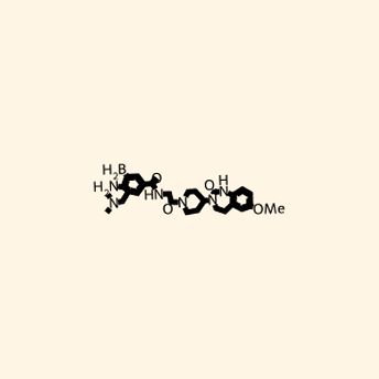 Bc1cc(C(=O)NCC(=O)N2CCC(N3CCc4cc(OC)ccc4NC3=O)CC2)cc(CN(C)C)c1N